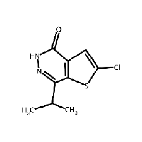 CC(C)c1n[nH]c(=O)c2cc(Cl)sc12